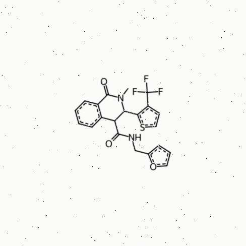 CN1C(=O)c2ccccc2C(C(=O)NCc2ccco2)C1c1sccc1C(F)(F)F